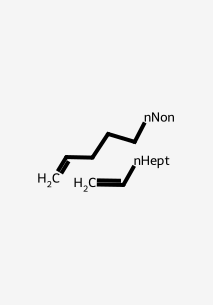 C=CCCCCCCC.C=CCCCCCCCCCCCC